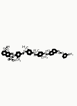 Cc1cc(N=Nc2cc(C)c(N=Nc3ccc4cc(NCOc5cccc(N)c5)ccc4c3O)cc2C)ccc1N=Nc1ccc(N=Nc2cc3c(S(=O)(=O)O)cccc3cc2S(=O)(=O)O)c(C)c1